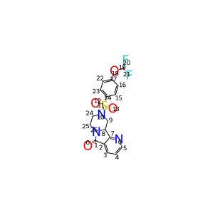 O=C1c2cccnc2C2CN(S(=O)(=O)c3ccc(OC(F)F)cc3)CCN12